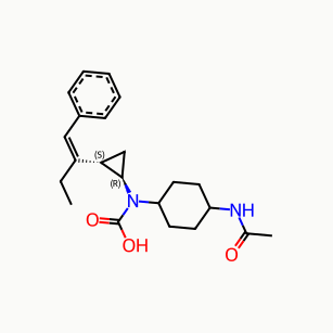 CCC(=Cc1ccccc1)[C@@H]1C[C@H]1N(C(=O)O)C1CCC(NC(C)=O)CC1